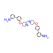 CN1CCC(Oc2cccc(-c3cccc(N)c3)c2)CC1CN1CCC(Oc2ccc(-c3cccc(N)c3)cc2)CC1